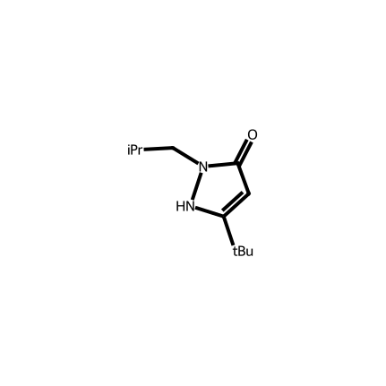 CC(C)Cn1[nH]c(C(C)(C)C)cc1=O